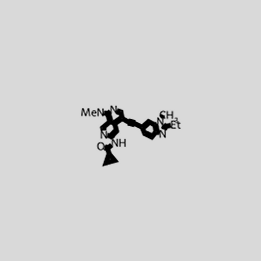 CCc1nc2ccc(C#Cc3cnc(NC)c4cnc(NC(=O)C5CC5)cc34)cc2n1C